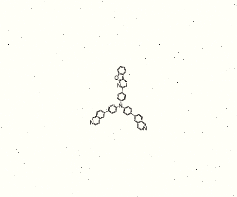 c1ccc2c(c1)oc1nc(-c3ccc(N(c4ccc(-c5ccc6cnccc6c5)cc4)c4ccc(-c5ccc6cnccc6c5)cc4)cc3)ccc12